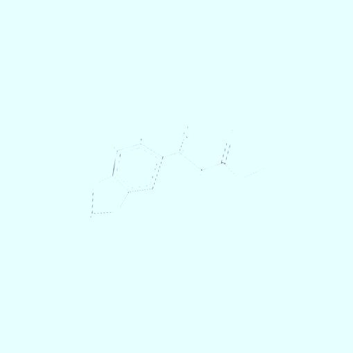 COC(=O)CC(N)c1ccc2c(c1)OCO2